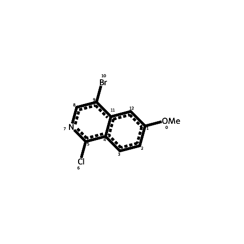 COc1ccc2c(Cl)ncc(Br)c2c1